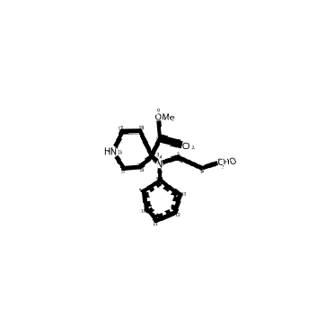 COC(=O)C1(N(CCC=O)c2ccccc2)CCNCC1